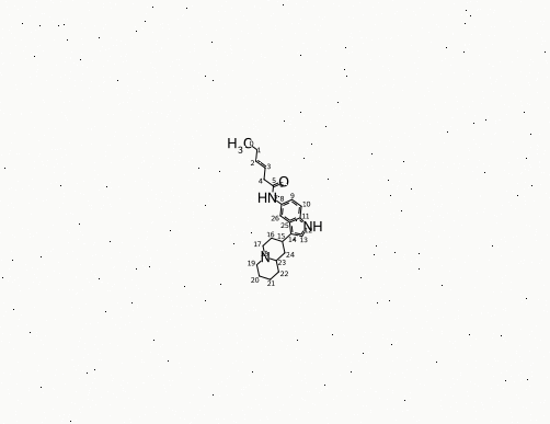 CCC=CCC(=O)Nc1ccc2[nH]cc(C3CCN4CCCCC4C3)c2c1